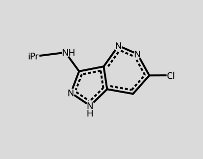 CC(C)Nc1n[nH]c2cc(Cl)nnc12